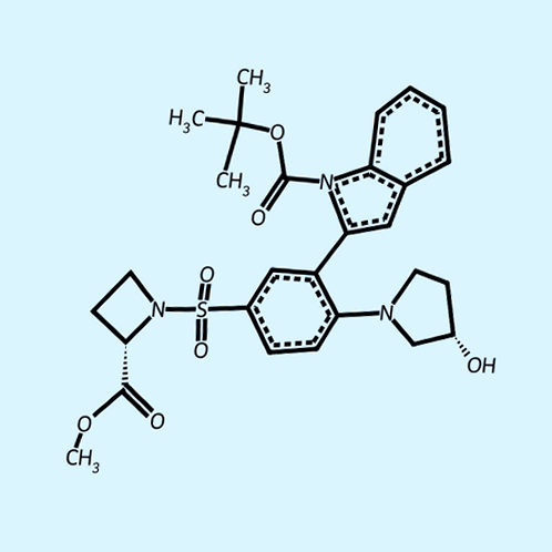 COC(=O)[C@@H]1CCN1S(=O)(=O)c1ccc(N2CC[C@H](O)C2)c(-c2cc3ccccc3n2C(=O)OC(C)(C)C)c1